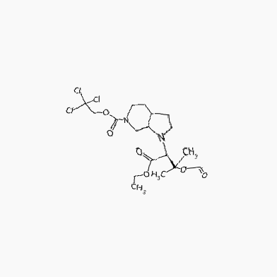 CCOC(=O)[C@@H](N1CCC2CCN(C(=O)OCC(Cl)(Cl)Cl)CC21)C(C)(C)O[C]=O